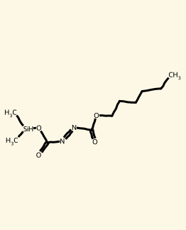 CCCCCCOC(=O)N=NC(=O)O[SiH](C)C